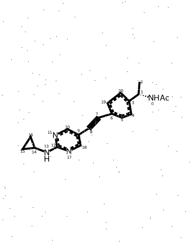 CC(=O)N[C@@H](C)c1ccc(C#Cc2cnc(NC3CC3)nc2)cc1